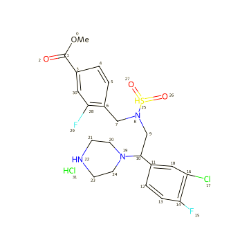 COC(=O)c1ccc(CN(CC(c2ccc(F)c(Cl)c2)N2CCNCC2)[SH](=O)=O)c(F)c1.Cl